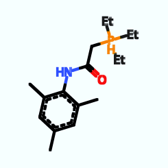 CC[PH](CC)(CC)CC(=O)Nc1c(C)cc(C)cc1C